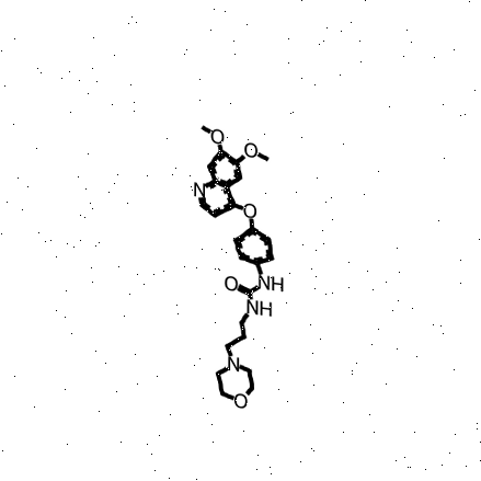 COc1cc2nccc(Oc3ccc(NC(=O)NCCCN4CCOCC4)cc3)c2cc1OC